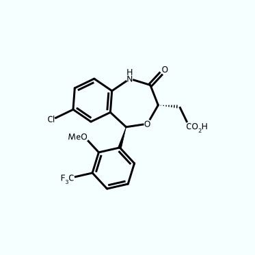 COc1c([C@@H]2O[C@@H](CC(=O)O)C(=O)Nc3ccc(Cl)cc32)cccc1C(F)(F)F